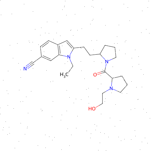 CCn1c(CCC2CCCN2C(=O)C2CCCN2CCO)cc2ccc(C#N)cc21